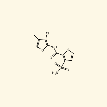 Cc1noc(NC(=O)c2sccc2S(N)(=O)=O)c1Cl